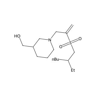 C=C(CN1CCCC(CO)C1)S(=O)(=O)CC(CC)CCCC